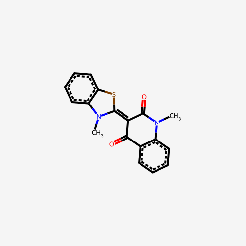 CN1C(=O)/C(=C2\Sc3ccccc3N2C)C(=O)c2ccccc21